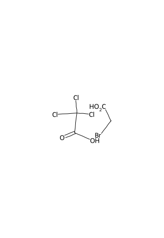 O=C(O)C(Cl)(Cl)Cl.O=C(O)CBr